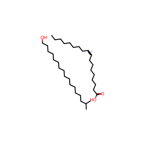 CC(C)CCCCCCCCCCCCCCCO.CCCCCCCC/C=C\CCCCCCCC(=O)O